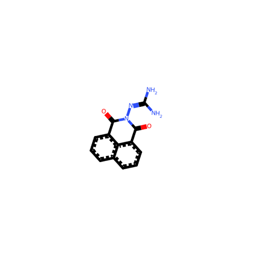 NC(N)=NN1C(=O)c2cccc3cccc(c23)C1=O